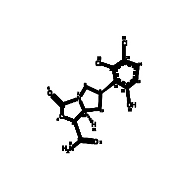 NC(=O)C1OC(=O)N2C[C@@H](c3c(O)ccc(Cl)c3Cl)C[C@@H]12